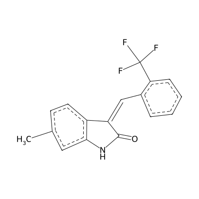 Cc1ccc2c(c1)NC(=O)C2=Cc1ccccc1C(F)(F)F